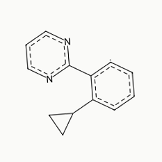 [c]1cccc(C2CC2)c1-c1ncccn1